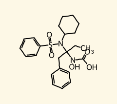 CCC(Cc1ccccc1)(N(O)C(=O)O)N(C1CCCCC1)S(=O)(=O)c1ccccc1